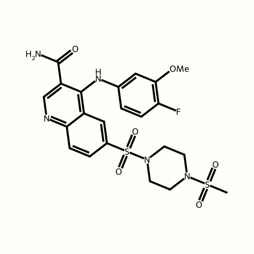 COc1cc(Nc2c(C(N)=O)cnc3ccc(S(=O)(=O)N4CCN(S(C)(=O)=O)CC4)cc23)ccc1F